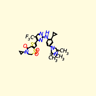 C[C@@H]1CN(c2ccc(Nc3ncc(C(F)(F)F)c(-c4cc5c(s4)C(=O)N(C4CC4)CCS5(=O)=O)n3)c(C3CC3)c2)C[C@H](C)N1C